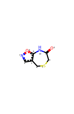 O=C1CSCc2cnoc2N1